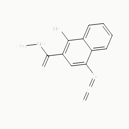 CCCCNC(=O)c1cc(N=C=S)c2ccccc2c1O